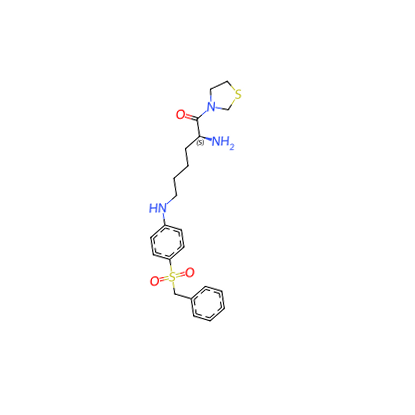 N[C@@H](CCCCNc1ccc(S(=O)(=O)Cc2ccccc2)cc1)C(=O)N1CCSC1